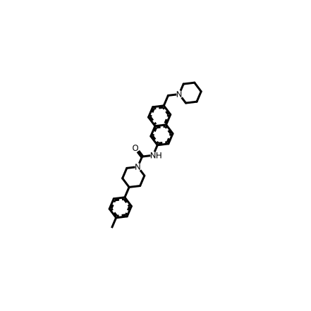 Cc1ccc(C2CCN(C(=O)Nc3ccc4cc(CN5CCCCC5)ccc4c3)CC2)cc1